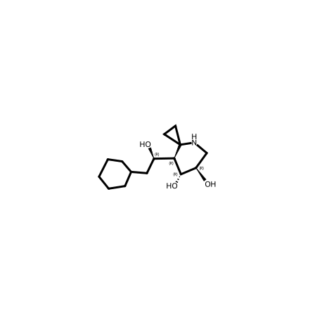 O[C@@H]1[C@@H]([C@H](O)CC2CCCCC2)C2(CC2)NC[C@H]1O